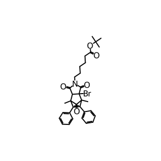 CC(C)(C)OC(=O)CCCCCN1C(=O)C2C3(C)C(=O)C(C)(C(c4ccccc4)=C3c3ccccc3)C2(Br)C1=O